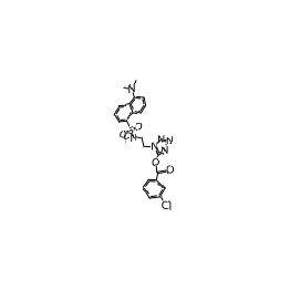 CN(C)c1cccc2c(S(=O)(=O)NCCn3nnnc3OC(=O)c3cccc(Cl)c3)cccc12